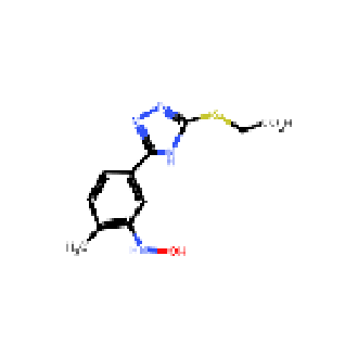 Cc1ccc(-c2nnc(SCC(=O)O)[nH]2)cc1NO